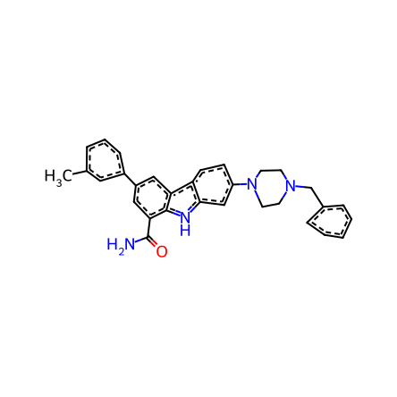 Cc1cccc(-c2cc(C(N)=O)c3[nH]c4cc(N5CCN(Cc6ccccc6)CC5)ccc4c3c2)c1